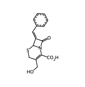 O=C(O)C1=C(CO)CSC2C(=Cc3ccccc3)C(=O)N12